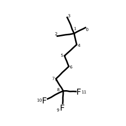 CC(C)(C)CCC[CH]C(F)(F)F